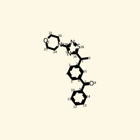 CC(c1cccc(C(=O)c2ccccc2)c1)c1nc(N2CCOCC2)ns1